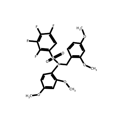 COc1ccc(CN(c2ccc(OC)cc2OC)S(=O)(=O)c2cc(F)c(F)c(F)c2F)c(OC)c1